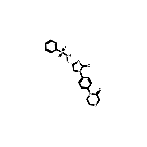 O=C1COCCN1c1ccc(N2C[C@H](CNS(=O)(=O)c3ccccc3)OC2=O)cc1